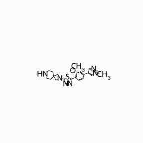 COc1cc(-c2cnn(C)c2)ccc1-c1nnc(N2CC3(CCNCC3)C2)s1